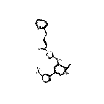 CNc1cc(-c2c[nH]c(=O)c(NC3CCN(C(=O)/C=C/Cc4ccccn4)C3)c2)ccn1